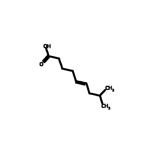 CC(C)CC=CCCCC(=O)O